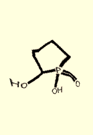 O=P1(O)CCCC1O